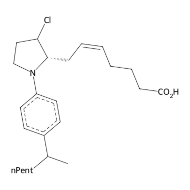 CCCCCC(C)c1ccc(N2CCC(Cl)[C@@H]2C/C=C\CCCC(=O)O)cc1